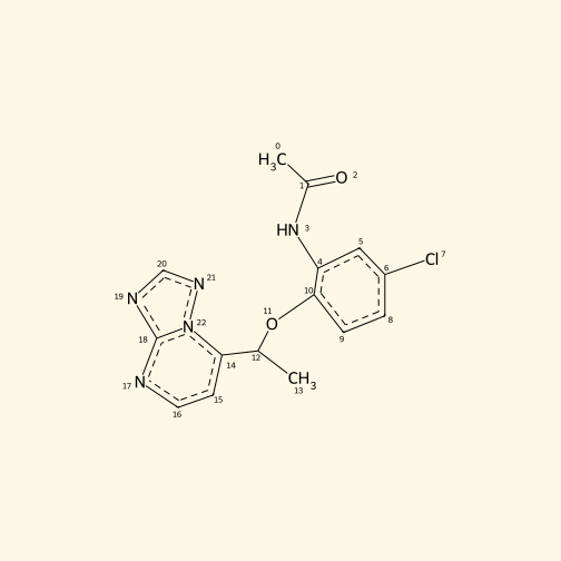 CC(=O)Nc1cc(Cl)ccc1OC(C)c1ccnc2ncnn12